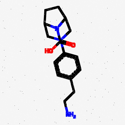 NCCc1ccc(N2CC3CCC(C2)N3C(=O)O)cc1